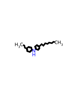 CCCCCCCCc1ccc(Nc2ccc(CCC)cc2)cc1